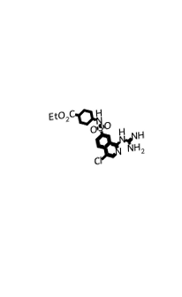 CCOC(=O)C1CCC(NS(=O)(=O)c2ccc3c(Cl)cnc(NC(=N)N)c3c2)CC1